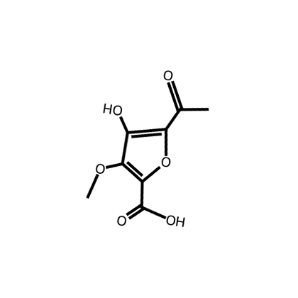 COc1c(C(=O)O)oc(C(C)=O)c1O